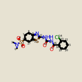 CN(C)S(=O)(=O)c1ccc2nc(NC(=O)NC(=O)c3ccccc3Cl)sc2c1